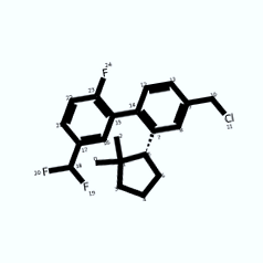 CC1(C)CCC[C@H]1c1cc(CCl)ccc1-c1cc(C(F)F)ccc1F